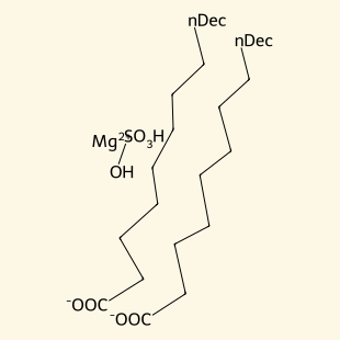 CCCCCCCCCCCCCCCCCC(=O)[O-].CCCCCCCCCCCCCCCCCC(=O)[O-].O=S(=O)(O)O.[Mg+2]